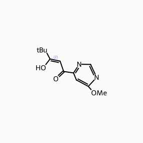 COc1cc(C(=O)/C=C(\O)C(C)(C)C)ncn1